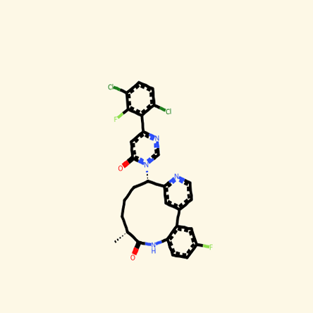 C[C@@H]1CCC[C@H](n2cnc(-c3c(Cl)ccc(Cl)c3F)cc2=O)c2cc(ccn2)-c2cc(F)ccc2NC1=O